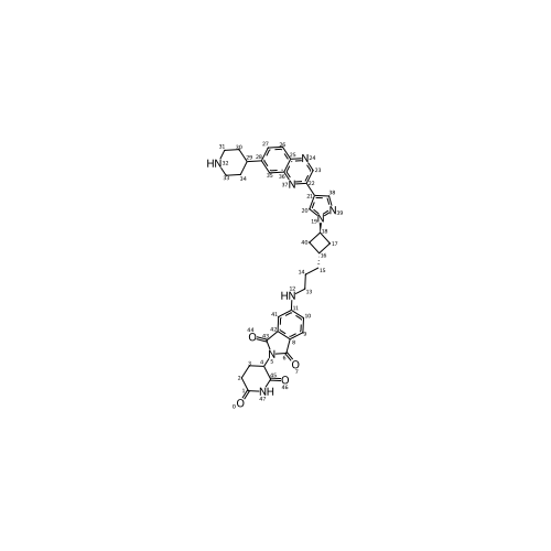 O=C1CCC(N2C(=O)c3ccc(NCCC[C@H]4C[C@H](n5cc(-c6cnc7ccc(C8CCNCC8)cc7n6)cn5)C4)cc3C2=O)C(=O)N1